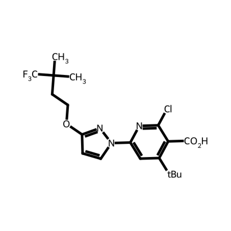 CC(C)(C)c1cc(-n2ccc(OCCC(C)(C)C(F)(F)F)n2)nc(Cl)c1C(=O)O